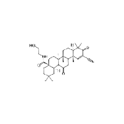 CC1(C)CC[C@]2(C(=O)NCCO)CC[C@]3(C)C(C(=O)C=C4[C@@]5(C)C=C(C#N)C(=O)C(C)(C)[C@@H]5CC[C@]43C)[C@H]2C1